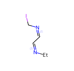 CC/N=C\C=N/CI